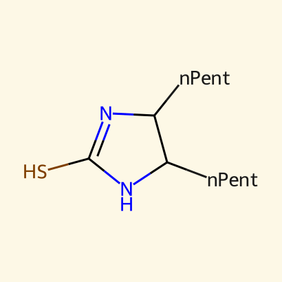 CCCCCC1N=C(S)NC1CCCCC